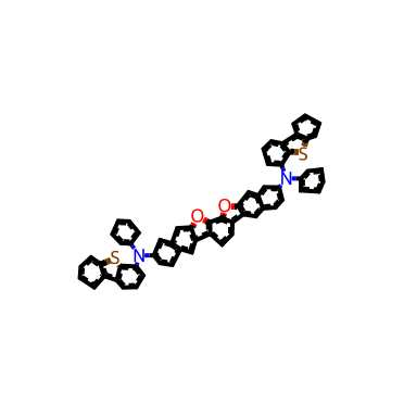 c1ccc(N(c2ccc3cc4c(cc3c2)oc2c4ccc3c4cc5ccc(N(c6ccccc6)c6cccc7c6sc6ccccc67)cc5cc4oc32)c2cccc3c2sc2ccccc23)cc1